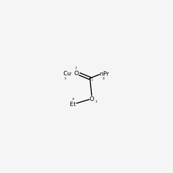 CCCC(=O)OCC.[Cu]